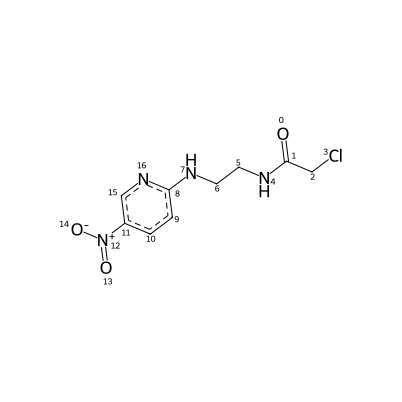 O=C(CCl)NCCNc1ccc([N+](=O)[O-])cn1